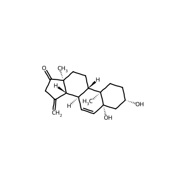 C=C1CC(=O)[C@@]2(C)CC[C@H]3[C@@H](C=C[C@]4(O)C[C@@H](O)CC[C@]34C)[C@H]12